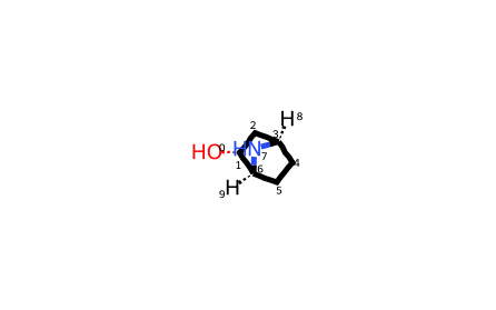 O[C@@H]1C[C@H]2CC[C@@H]1N2